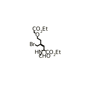 CCOC(=O)COCC/C(=C/C(NC=O)C(=O)OCC)CBr